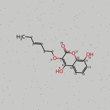 CCC=CCCOc1c(O)c2cccc(O)c2oc1=O